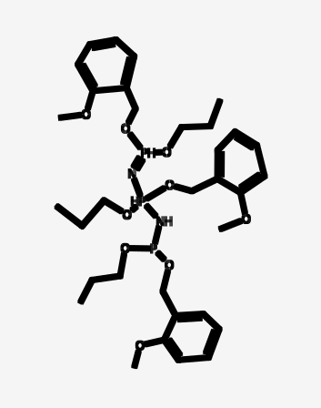 CCCOP(N[PH](N=[PH](OCCC)OCc1ccccc1OC)(OCCC)OCc1ccccc1OC)OCc1ccccc1OC